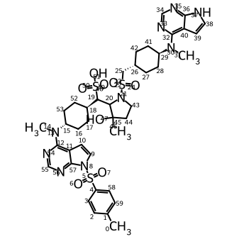 Cc1ccc(S(=O)(=O)n2ccc3c(N(C)[C@H]4CC[C@H](C(C5N(S(=O)(=O)C[C@H]6CC[C@H](N(C)c7ncnc8[nH]ccc78)CC6)CCC5(C)O)S(=O)(=O)O)CC4)ncnc32)cc1